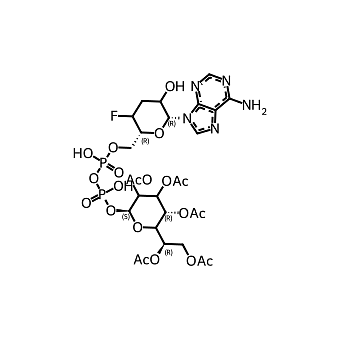 CC(=O)OC[C@@H](OC(C)=O)C1O[C@@H](OP(=O)(O)OP(=O)(O)OC[C@H]2O[C@@H](n3cnc4c(N)ncnc43)C(O)CC2F)C(OC(C)=O)C(OC(C)=O)[C@@H]1OC(C)=O